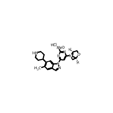 COc1nc(N2C[C@H]3C[C@@H]2CO3)cc(-n2ncc3cc(C)c(C4CCNCC4)cc32)n1.Cl